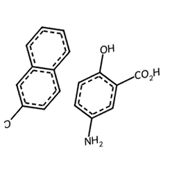 Nc1ccc(O)c(C(=O)O)c1.Oc1ccc2ccccc2c1